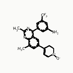 Cc1nc(-c2cc(N)cc(C(F)(F)F)c2)c2cc(C3=CC[S+]([O-])CC3)cc(C)c2n1